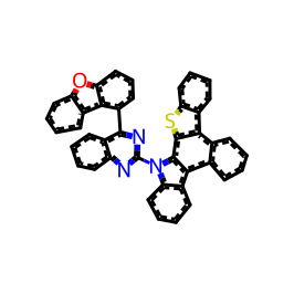 c1ccc2c(-c3cccc4oc5ccccc5c34)nc(-n3c4ccccc4c4c5ccccc5c5c6ccccc6sc5c43)nc2c1